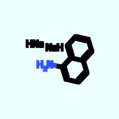 Nc1cccc2ccccc12.[NaH].[NaH]